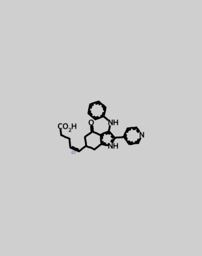 O=C(O)CC/C=C\C1CC(=O)c2c([nH]c(-c3ccncc3)c2Nc2ccccc2)C1